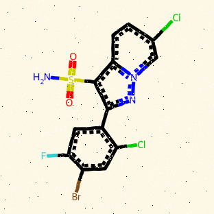 NS(=O)(=O)c1c(-c2cc(F)c(Br)cc2Cl)nn2cc(Cl)ccc12